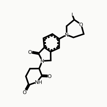 O=C1CCC(N2Cc3cc(N4CCOC(I)C4)ccc3C2=O)C(=O)N1